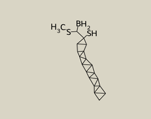 BC(SC)C1(S)C2C1C13C2C12C31C23C12C14C56C78C9CC97C85C61C324